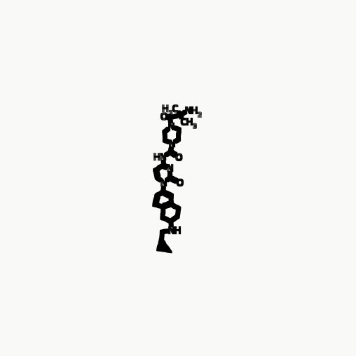 CC(C)(N)C(=O)N1CCN(C(=O)Nc2ccn(-c3ccc4c(c3)CCC(NCC3CC3)C4)c(=O)n2)CC1